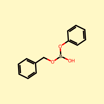 OB(OCc1ccccc1)Oc1ccccc1